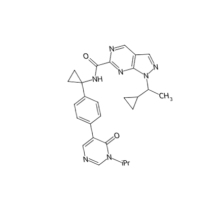 CC(C)n1cncc(-c2ccc(C3(NC(=O)c4ncc5cnn(C(C)C6CC6)c5n4)CC3)cc2)c1=O